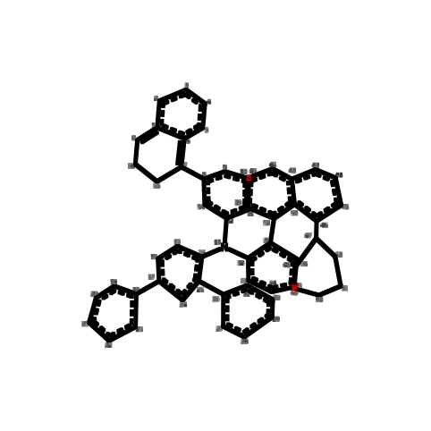 C1=c2ccccc2=C(c2cccc(N(c3ccc(-c4ccccc4)cc3-c3ccccc3)c3ccccc3-c3cccc4cccc(C5CCCCC5)c34)c2)CC1